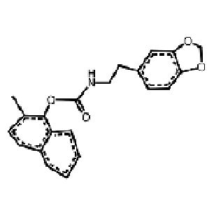 Cc1ccc2ccccc2c1OC(=O)NCCc1ccc2c(c1)OCO2